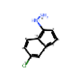 NNc1cccc2cc(Cl)ccc12